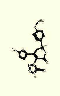 CCCCOc1ccc([C@]2(C)CC(c3ccc(C(C)=O)s3)=C(n3nn[nH]c3=O)C(=O)N2)cc1